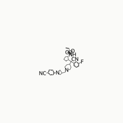 C=CS(=O)(=O)N[C@H]1CCC[C@@H]1[C@](C#N)(c1cccc(F)c1)C1CCN(CC2CN(c3ccc(C#N)cc3)C2)CC1